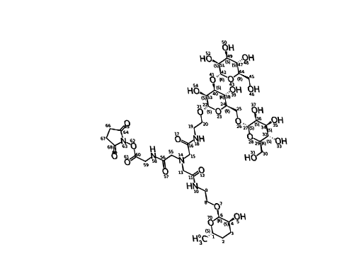 C[C@H]1CC[C@H](O)[C@H](OCCNC(=O)CN(CC(=O)NCCO[C@H]2O[C@H](CO[C@H]3O[C@H](CO)[C@@H](O)[C@H](O)[C@@H]3O)[C@@H](O)[C@H](O[C@H]3O[C@H](CO)[C@@H](O)[C@H](O)[C@@H]3O)[C@@H]2O)CC(=O)NCC(=O)ON2C(=O)CCC2=O)O1